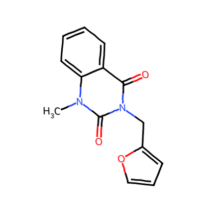 Cn1c(=O)n(Cc2ccco2)c(=O)c2ccccc21